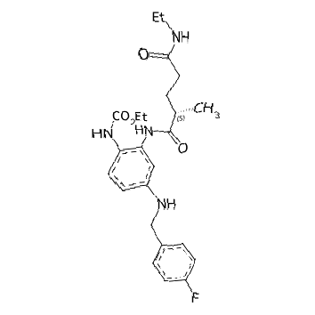 CCNC(=O)CC[C@H](C)C(=O)Nc1cc(NCc2ccc(F)cc2)ccc1NC(=O)OCC